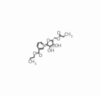 CCCOC(=O)c1ccc[n+]([C@@H]2O[C@H](COC(=O)CC)[C@@H](O)[C@H]2O)c1